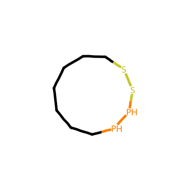 C1CCCPPSSCCC1